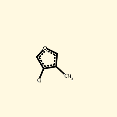 Cc1cocc1Cl